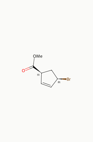 COC(=O)[C@@H]1C=C[C@H](Br)C1